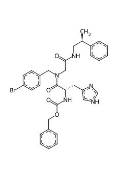 C[C@H](CNC(=O)CN(Cc1ccc(Br)cc1)C(=O)[C@H](Cc1c[nH]cn1)NC(=O)OCc1ccccc1)c1ccccc1